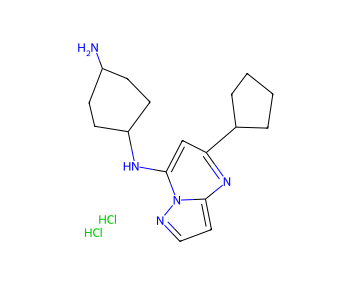 Cl.Cl.NC1CCC(Nc2cc(C3CCCC3)nc3ccnn23)CC1